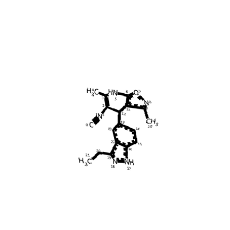 [C-]#[N+]C1=C(C)Nc2onc(C)c2C1c1ccc2[nH]nc(CC)c2c1